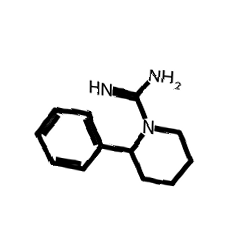 N=C(N)N1CCCCC1c1ccccc1